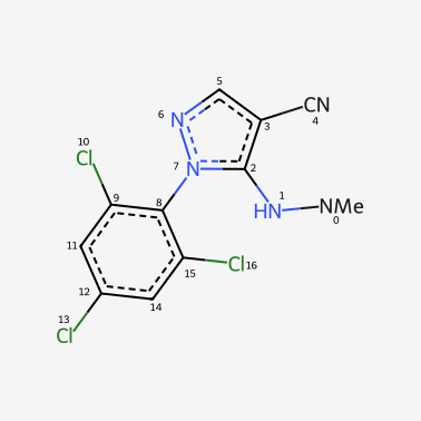 CNNc1c(C#N)cnn1-c1c(Cl)cc(Cl)cc1Cl